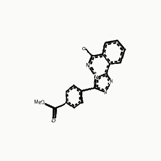 COC(=O)c1ccc(-c2nnc3c4ccccc4c(Cl)nn23)cc1